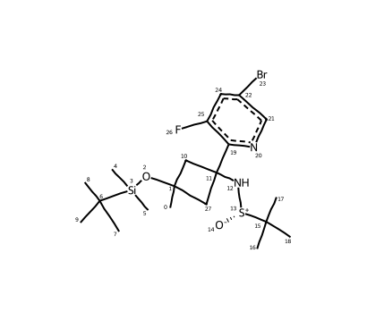 CC1(O[Si](C)(C)C(C)(C)C)CC(N[S@@+]([O-])C(C)(C)C)(c2ncc(Br)cc2F)C1